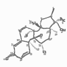 CC(=O)[C@@]1(O)[C@H](C)C[C@H]2[C@@H]3C=CC4=CC(=O)C=C[C@]4(C)[C@@]3(Cl)[C@@H](Cl)C[C@@]21C